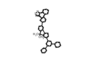 CC1(C)c2ccc(-c3ccc4c5ccccc5c5nsnc5c4c3)cc2-c2ccc(-c3cc(-c4ccccc4)cc(-c4ccccc4)c3)cc21